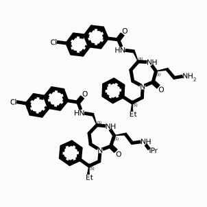 CC[C@H](CN1CC[C@@H](CNC(=O)c2ccc3cc(Cl)ccc3c2)N[C@@H](CCN)C1=O)c1ccccc1.CC[C@H](CN1CC[C@@H](CNC(=O)c2ccc3cc(Cl)ccc3c2)N[C@@H](CCNC(C)C)C1=O)c1ccccc1